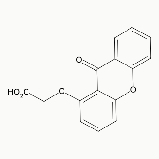 O=C(O)COc1cccc2oc3ccccc3c(=O)c12